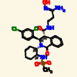 CS(=O)(=O)N[C@H]1CCCC[C@@H]1N1C(=O)c2ccccc2[C@@H](C(=O)NCCC(N)=NO)[C@@H]1c1ccc(Cl)cc1Cl